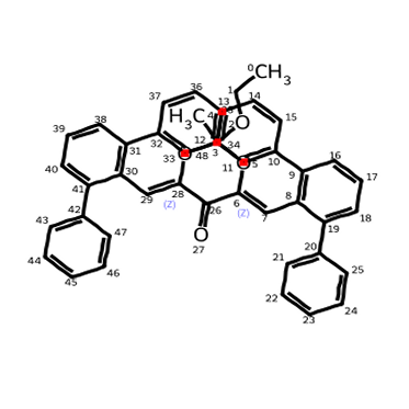 CCOC1(C)O/C(=C\c2c(-c3ccccc3)cccc2-c2ccccc2)C(=O)/C(=C/c2c(-c3ccccc3)cccc2-c2ccccc2)O1